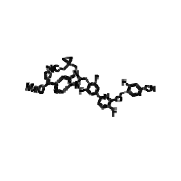 COC(=O)c1ccc2nc(Cc3c(F)cc(-c4ccc(F)c(OCc5ccc(C#N)cc5F)n4)cc3F)n(CC3(CC#N)CC3)c2c1